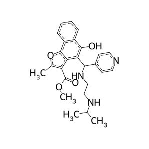 COC(=O)c1c(C)oc2c1c(C(NCCNC(C)C)c1ccncc1)c(O)c1ccccc12